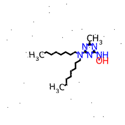 CCCCCCCCN(CCCCCCCC)c1nc(C)nc(NO)n1